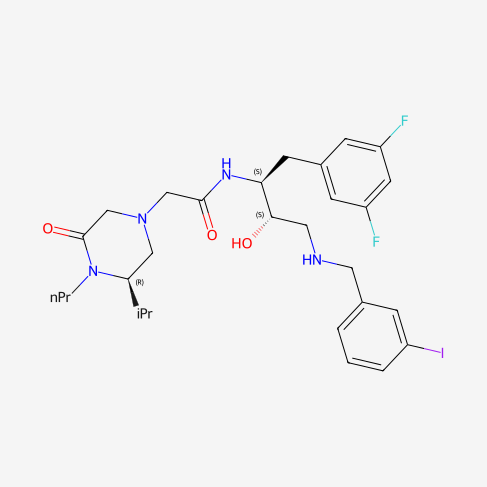 CCCN1C(=O)CN(CC(=O)N[C@@H](Cc2cc(F)cc(F)c2)[C@@H](O)CNCc2cccc(I)c2)C[C@H]1C(C)C